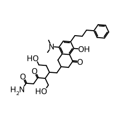 CN(C)c1cc(CCCc2ccccc2)c(O)c2c1CC(CC(CCO)C(CO)C(=O)CC(N)=O)CC2=O